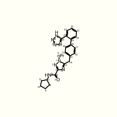 CCCn1nc(C(=O)NC2CCCC2)nc1Cc1ccc(-c2ccccc2-c2nnn[nH]2)cc1